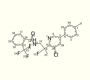 Cc1ccc(-c2cnc(C(C)(F)CNC(=O)c3ccccc3C(F)(F)F)c(Cl)c2)cc1